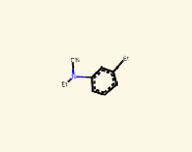 CCc1cccc(N(C#N)CC)c1